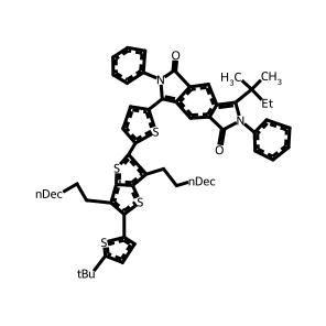 CCCCCCCCCCCCc1c(-c2ccc(C3=c4cc5c(cc4C(=O)N3c3ccccc3)=C(C(C)(C)CC)N(c3ccccc3)C5=O)s2)sc2c(CCCCCCCCCCCC)c(-c3ccc(C(C)(C)C)s3)sc12